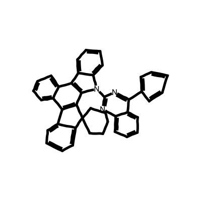 c1ccc(-c2nc(-n3c4ccccc4c4c5ccccc5c5c(c43)C3(CCCCC3)c3ccccc3-5)nc3ccccc23)cc1